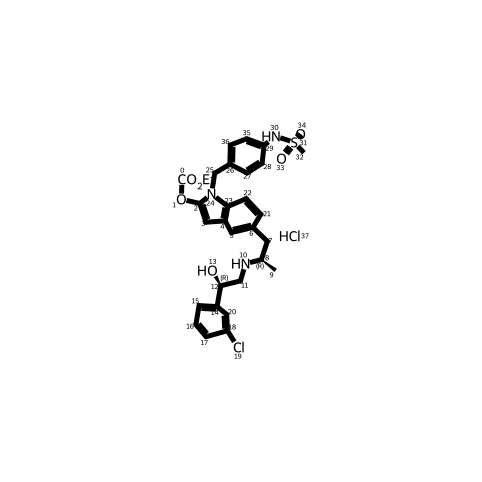 CCOC(=O)Oc1cc2cc(C[C@@H](C)NC[C@H](O)c3cccc(Cl)c3)ccc2n1Cc1ccc(NS(C)(=O)=O)cc1.Cl